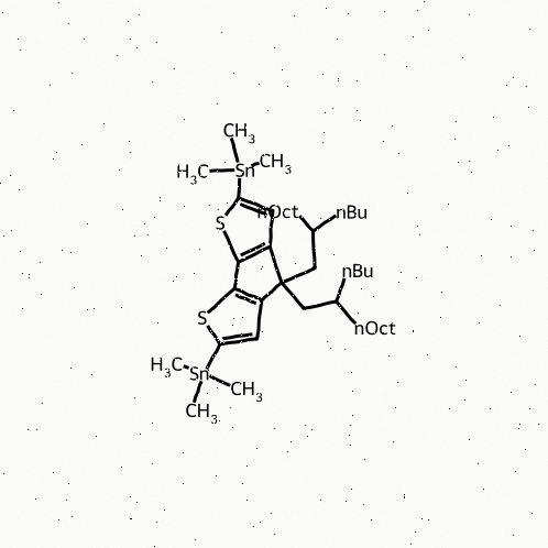 CCCCCCCCC(CCCC)CC1(CC(CCCC)CCCCCCCC)c2c[c]([Sn]([CH3])([CH3])[CH3])sc2-c2s[c]([Sn]([CH3])([CH3])[CH3])cc21